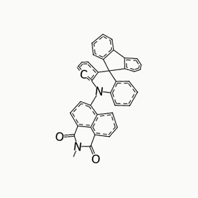 CN1C(=O)c2cccc3c(N4c5ccccc5C5(c6ccccc6-c6ccccc65)c5ccccc54)ccc(c23)C1=O